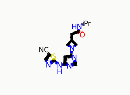 CC(C)NC(=O)CC1CN(c2cc(Nc3ncc(C#N)s3)ncn2)C1